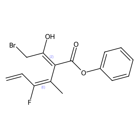 C=C/C(F)=C(C)\C(C(=O)Oc1ccccc1)=C(\O)CBr